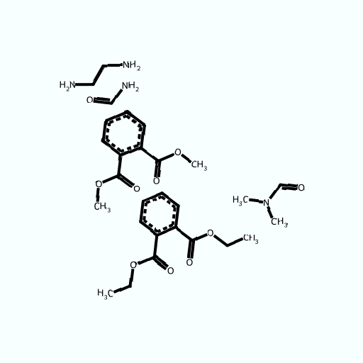 CCOC(=O)c1ccccc1C(=O)OCC.CN(C)C=O.COC(=O)c1ccccc1C(=O)OC.NC=O.NCCN